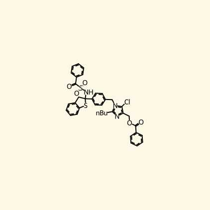 CCCCc1nc(COC(=O)c2ccccc2)c(Cl)n1Cc1ccc(C2(NS(=O)(=O)C(=O)c3ccccc3)Cc3ccccc3S2)cc1